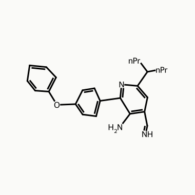 CCCC(CCC)c1cc(C=N)c(N)c(-c2ccc(Oc3ccccc3)cc2)n1